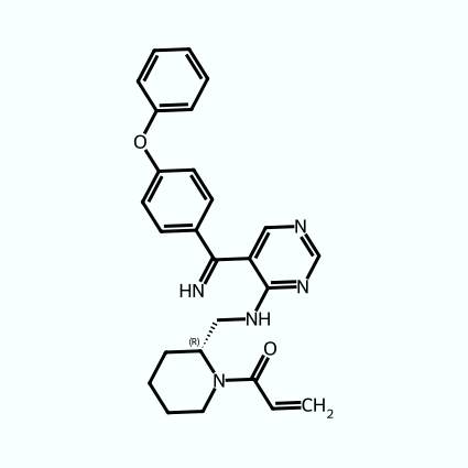 C=CC(=O)N1CCCC[C@@H]1CNc1ncncc1C(=N)c1ccc(Oc2ccccc2)cc1